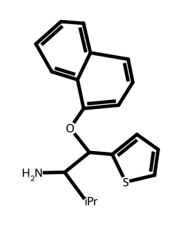 CC(C)C(N)C(Oc1cccc2ccccc12)c1cccs1